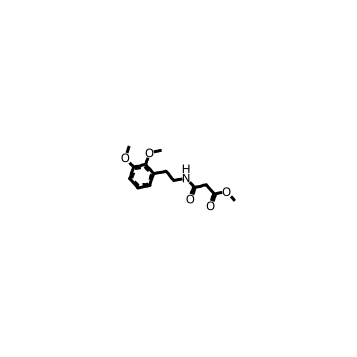 COC(=O)CC(=O)NCCc1cccc(OC)c1OC